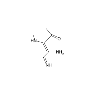 CN/C(C(C)=O)=C(/N)C=N